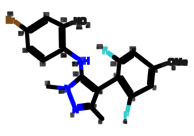 COc1cc(F)c(-c2c(C)nn(C)c2Nc2ccc(Br)cc2[N+](=O)[O-])c(F)c1